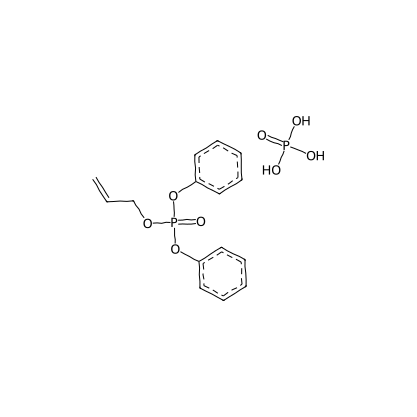 C=CCOP(=O)(Oc1ccccc1)Oc1ccccc1.O=P(O)(O)O